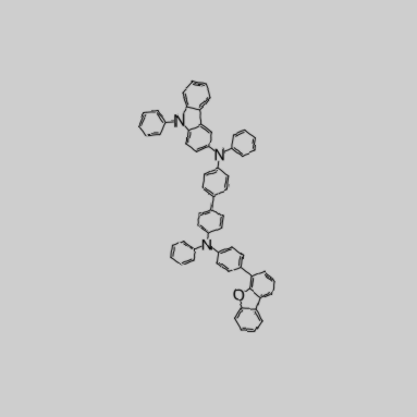 c1ccc(N(c2ccc(-c3ccc(N(c4ccccc4)c4ccc5c(c4)c4ccccc4n5-c4ccccc4)cc3)cc2)c2ccc(-c3cccc4c3oc3ccccc34)cc2)cc1